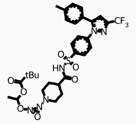 Cc1ccc(-c2cc(C(F)(F)F)nn2-c2ccc(S(=O)(=O)NC(=O)C3CCN(n4on4OC(C)OC(=O)C(C)(C)C)CC3)cc2)cc1